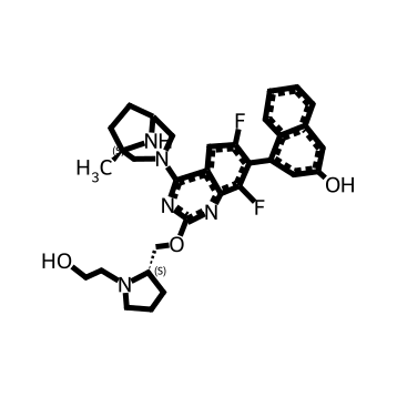 C[C@]12CCC(CN(c3nc(OC[C@@H]4CCCN4CCO)nc4c(F)c(-c5cc(O)cc6ccccc56)c(F)cc34)C1)N2